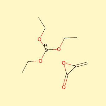 C=C1OC1=O.CCO[SiH](OCC)OCC